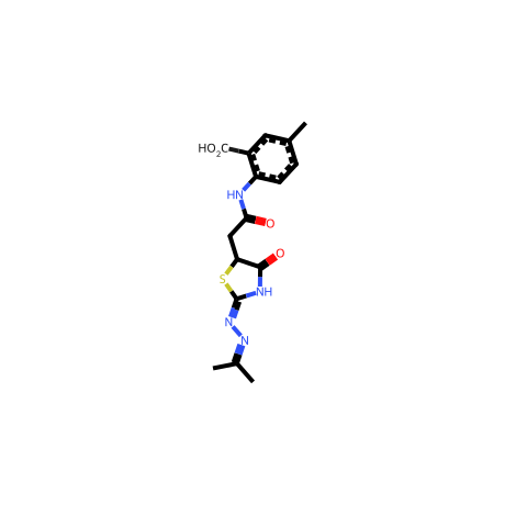 CC(C)=N/N=C1\NC(=O)C(CC(=O)Nc2ccc(C)cc2C(=O)O)S1